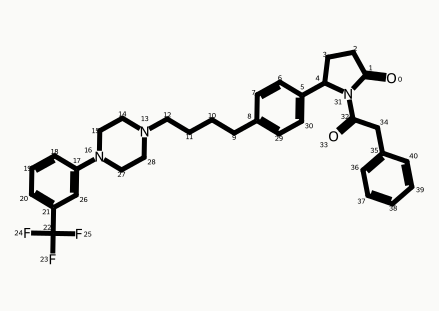 O=C1CCC(c2ccc(CCCCN3CCN(c4cccc(C(F)(F)F)c4)CC3)cc2)N1C(=O)Cc1ccccc1